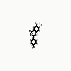 Cc1ccc2nc(-c3ccc(Cl)cc3)ncc2c1